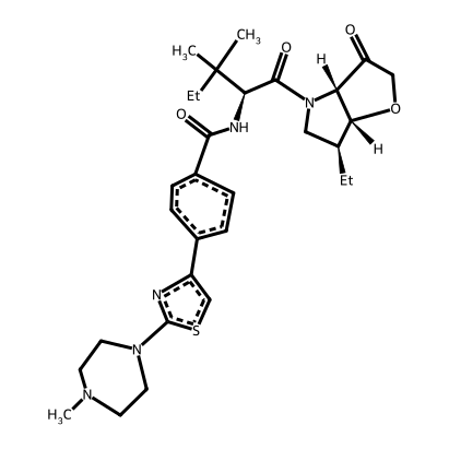 CC[C@H]1CN(C(=O)[C@@H](NC(=O)c2ccc(-c3csc(N4CCN(C)CC4)n3)cc2)C(C)(C)CC)[C@@H]2C(=O)CO[C@H]12